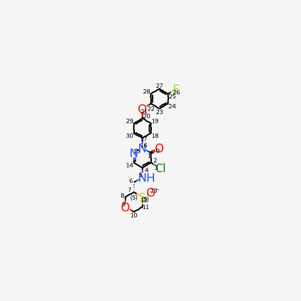 O=c1c(Cl)c(NC[C@H]2COCC[S@@+]2[O-])cnn1-c1ccc(Oc2ccc(F)cc2)cc1